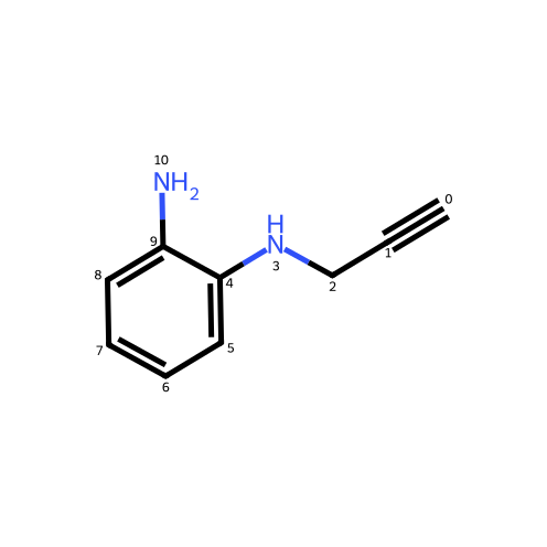 C#CCNc1ccccc1N